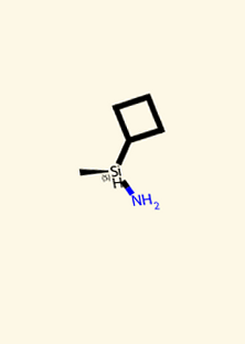 C[Si@H](N)C1CCC1